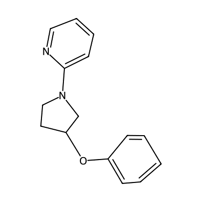 c1ccc(OC2CCN(c3ccccn3)C2)cc1